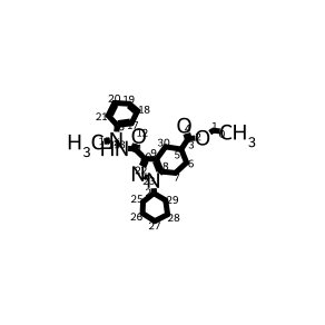 CCOC(=O)C1CCc2c(c(C(=O)NN(C)c3ccccc3)nn2C2CCCCC2)C1